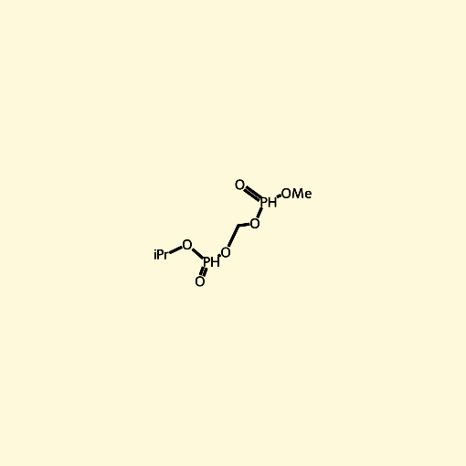 CO[PH](=O)OCO[PH](=O)OC(C)C